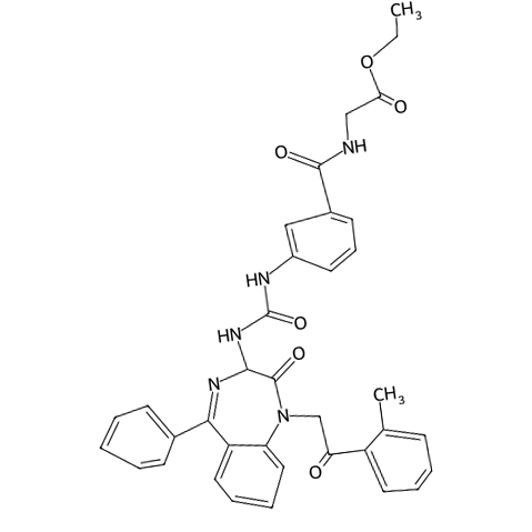 CCOC(=O)CNC(=O)c1cccc(NC(=O)NC2N=C(c3ccccc3)c3ccccc3N(CC(=O)c3ccccc3C)C2=O)c1